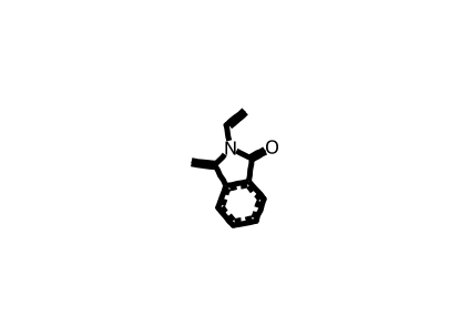 C=CN1C(=C)c2ccccc2C1=O